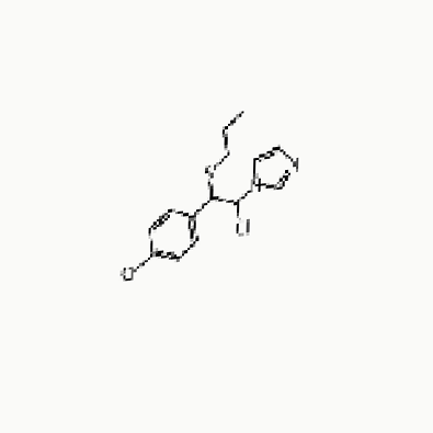 CCCSC(c1ccc(Cl)cc1)C(Cl)n1ccnc1